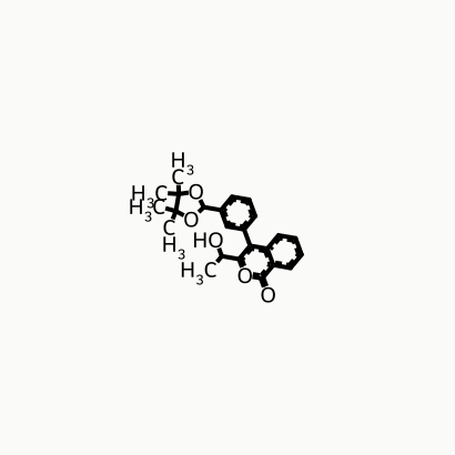 CC(O)c1oc(=O)c2ccccc2c1-c1cccc(C2OC(C)(C)C(C)(C)O2)c1